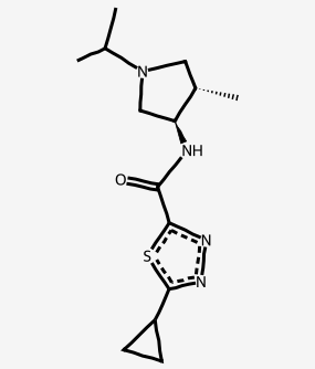 CC(C)N1C[C@H](NC(=O)c2nnc(C3CC3)s2)[C@@H](C)C1